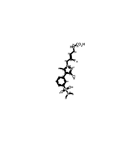 Cc1c(-c2cccc(S(=O)(=O)N(C)C)c2)c(Cl)nn1CC(F)=CCNC(=O)O